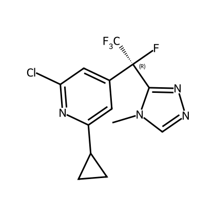 Cn1cnnc1[C@](F)(c1cc(Cl)nc(C2CC2)c1)C(F)(F)F